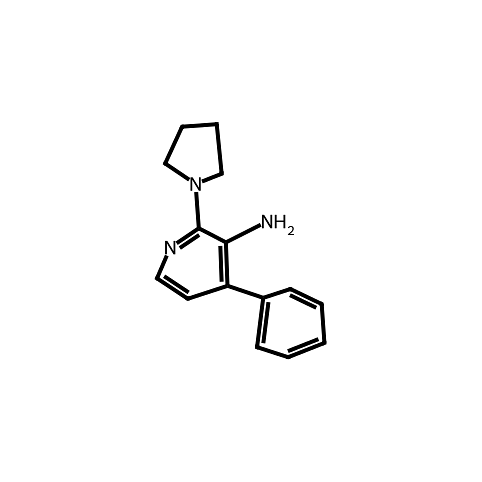 Nc1c(-c2ccccc2)ccnc1N1CCCC1